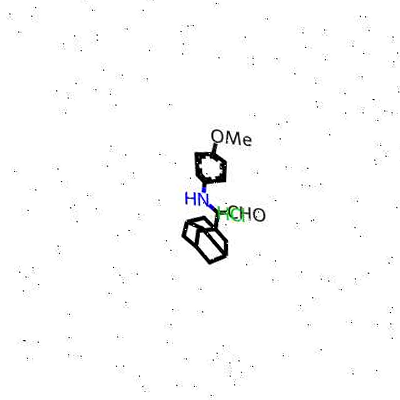 COc1ccc(NC(C=O)C23CC4CC(CC(C4)C2)C3)cc1.Cl